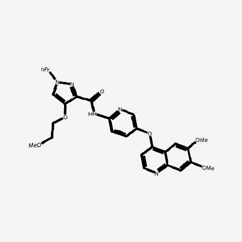 CCCn1cc(OCCOC)c(C(=O)Nc2ccc(Oc3ccnc4cc(OC)c(OC)cc34)cn2)n1